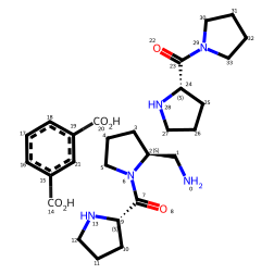 NC[C@@H]1CCCN1C(=O)[C@@H]1CCCN1.O=C(O)c1cccc(C(=O)O)c1.O=C([C@@H]1CCCN1)N1CCCC1